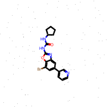 O=C(Nc1nc2cc(-c3cccnc3)cc(Br)c2o1)NC1CCCC1